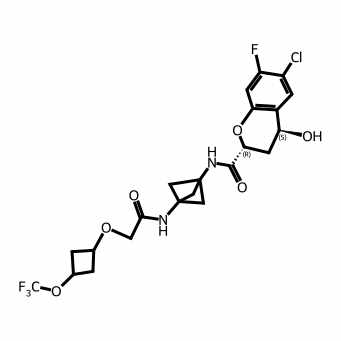 O=C(COC1CC(OC(F)(F)F)C1)NC12CC(NC(=O)[C@H]3C[C@H](O)c4cc(Cl)c(F)cc4O3)(C1)C2